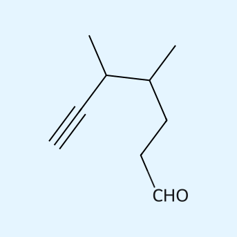 C#CC(C)C(C)CCC=O